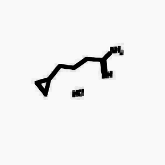 Cl.N=C(N)CCCC1CC1